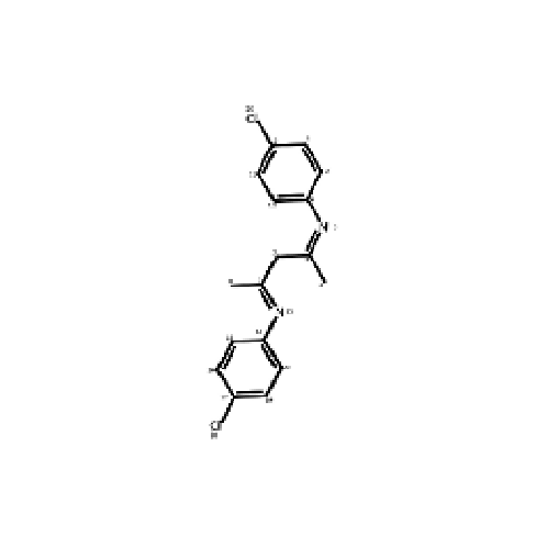 CC(CC(C)=Nc1ccc(Cl)cc1)=Nc1ccc(Cl)cc1